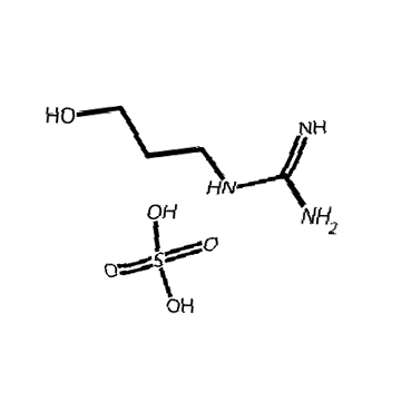 N=C(N)NCCCO.O=S(=O)(O)O